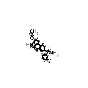 COCOc1ccc(-c2ccc(N(C(N)=O)c3cccc(Cl)c3)cc2)c2c(N)n[nH]c12